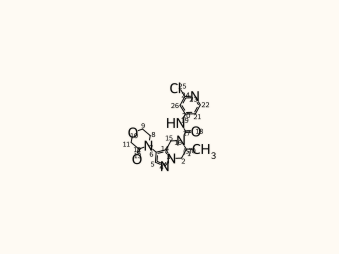 C[C@H]1Cn2ncc(N3CCOCC3=O)c2CN1C(=O)Nc1ccnc(Cl)c1